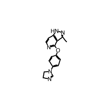 Cc1n[nH]c2ccnc(Oc3ccc(N4C=NCC4)cc3)c12